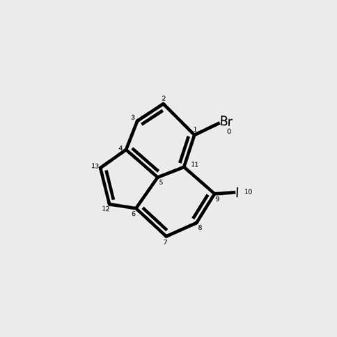 Brc1ccc2c3c(ccc(I)c13)C=C2